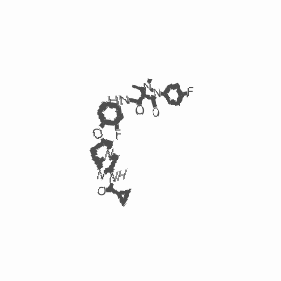 Cc1c(C(=O)Nc2ccc(Oc3ccc4nc(NC(=O)C5CC5)cn4c3)c(F)c2)c(=O)n(-c2ccc(F)cc2)n1C